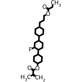 C=C(C)C(=O)OC1CCC(C2CCC(C3CCC(CCCOC(=O)CC)CC3)CC2F)CC1